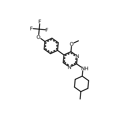 COc1nc(NC2CCC(C)CC2)ncc1-c1ccc(OC(F)(F)F)cc1